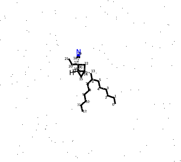 CCCCCCC(CCCCCC)C[C@]12C[C@@H]1[C@@](C#N)(CC)C2